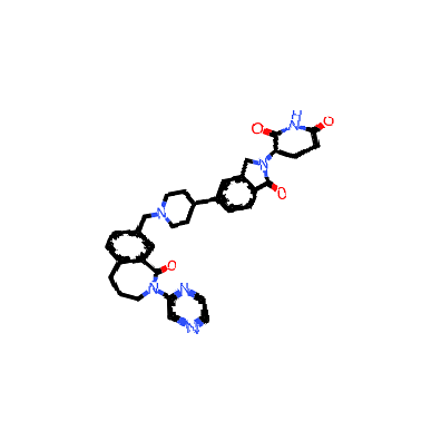 O=C1CCC(N2Cc3cc(C4CCN(Cc5ccc6c(c5)C(=O)N(c5cnccn5)CCC6)CC4)ccc3C2=O)C(=O)N1